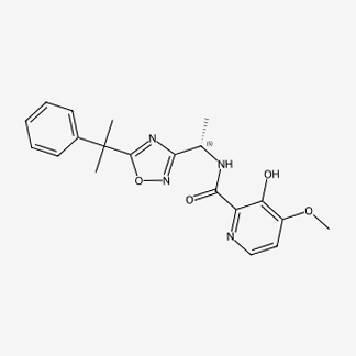 COc1ccnc(C(=O)N[C@@H](C)c2noc(C(C)(C)c3ccccc3)n2)c1O